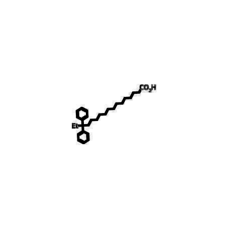 CCC(CCCCCCCCCCCCCC(=O)O)(c1ccccc1)c1ccccc1